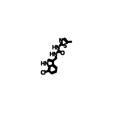 Cc1cnc(NC(=O)NCc2c[nH]c3c(Cl)cccc23)s1